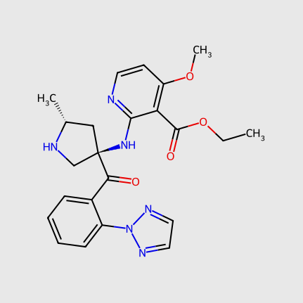 CCOC(=O)c1c(OC)ccnc1N[C@@]1(C(=O)c2ccccc2-n2nccn2)CN[C@H](C)C1